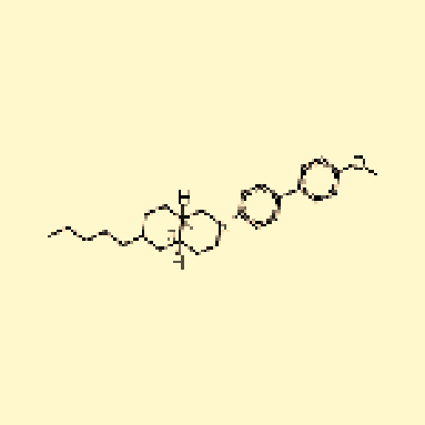 CCCCCC1CC[C@@H]2C[C@H](c3ccc(-c4ccc(OC)cc4)cc3)CC[C@@H]2C1